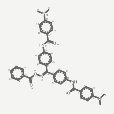 CN(C)c1ccc(C(=O)Nc2ccc(C(=NOC(=O)c3ccccc3)c3ccc(NC(=O)c4ccc(N(C)C)cc4)cc3)cc2)cc1